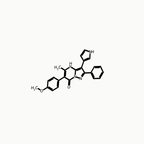 COc1ccc(-c2c(C)[nH]c3c(-c4cc[nH]c4)c(-c4ccccc4)nn3c2=O)cc1